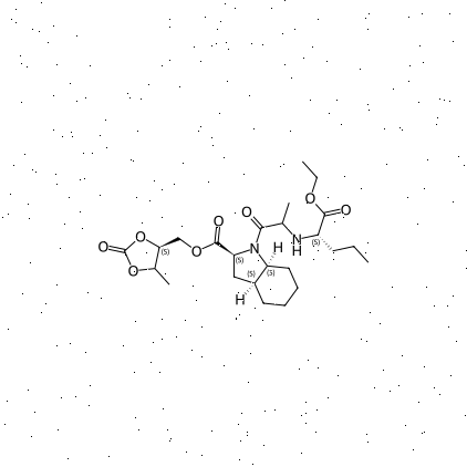 CCC[C@H](NC(C)C(=O)N1[C@H](C(=O)OC[C@@H]2OC(=O)OC2C)C[C@@H]2CCCC[C@@H]21)C(=O)OCC